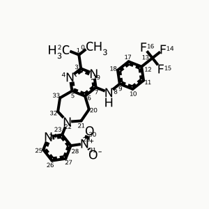 CC(C)c1nc2c(c(Nc3ccc(C(F)(F)F)cc3)n1)CCN(c1ncccc1[N+](=O)[O-])CC2